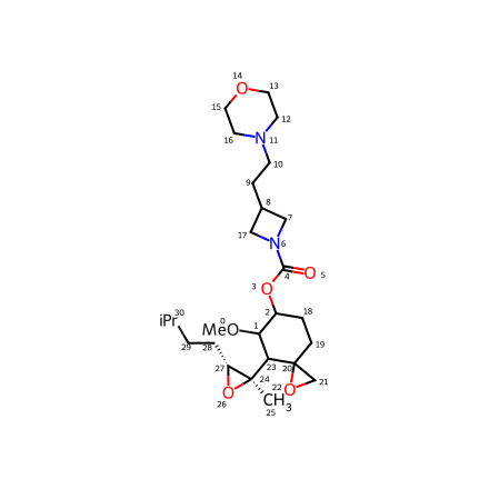 COC1C(OC(=O)N2CC(CCN3CCOCC3)C2)CCC2(CO2)C1[C@@]1(C)O[C@@H]1CCC(C)C